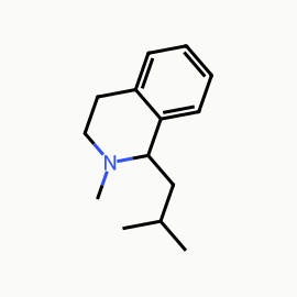 CC(C)CC1c2ccccc2CCN1C